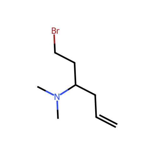 C=CCC(CCBr)N(C)C